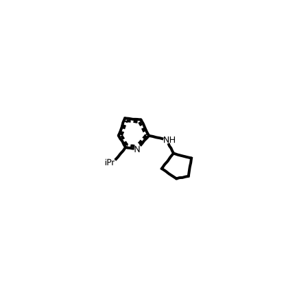 CC(C)c1cccc(NC2CCCC2)n1